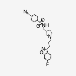 N#Cc1ccc(S(=O)(=O)NCC2CCN(CCCc3noc4cc(F)ccc34)C2)cc1